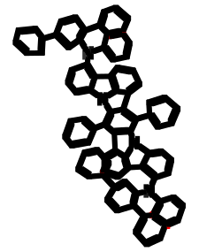 c1ccc(-c2ccc(-c3ccccc3)c(N(c3ccccc3)c3cccc4c3c3cccc5c6c(-c7ccccc7)c7c(c(-c8ccccc8)c6n4c35)c3cccc4c5c(N(c6ccccc6)c6cc(-c8ccccc8)ccc6-c6ccccc6)cccc5n7c43)c2)cc1